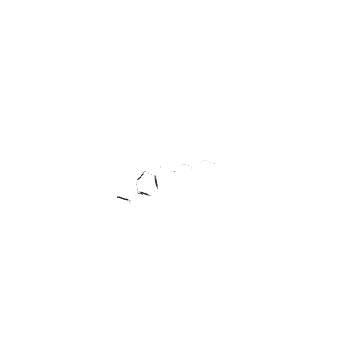 C=Cc1ccc(OCCOCCCl)cc1